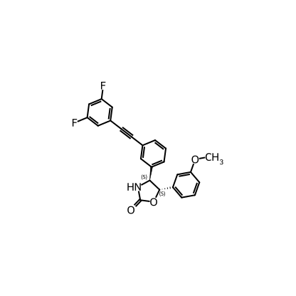 COc1cccc([C@@H]2OC(=O)N[C@H]2c2cccc(C#Cc3cc(F)cc(F)c3)c2)c1